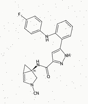 N#CN1C=C2C[C@]2(NC(=O)c2cc(-c3ccccc3Nc3ccc(F)cc3)[nH]n2)C1